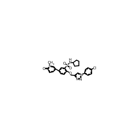 Cn1cc(-c2ccc(OCc3cn(-c4ccc(Cl)cc4)nn3)c(S(=O)(=O)NC3CCCC3)c2)ccc1=O